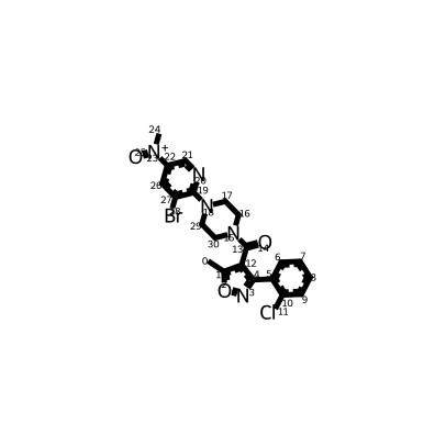 Cc1onc(-c2ccccc2Cl)c1C(=O)N1CCN(c2ncc([N+](C)=O)cc2Br)CC1